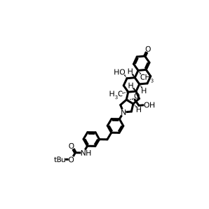 CC(C)(C)OC(=O)Nc1cccc(Cc2ccc(N3C[C@@H]4C[C@H]5[C@@H]6CCC7=CC(=O)C=C[C@]7(C)[C@H]6[C@@H](O)C[C@]5(C)[C@]4(C(=O)CO)C3)cc2)c1